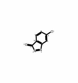 O=C1N=Nc2cc(Cl)ccc21